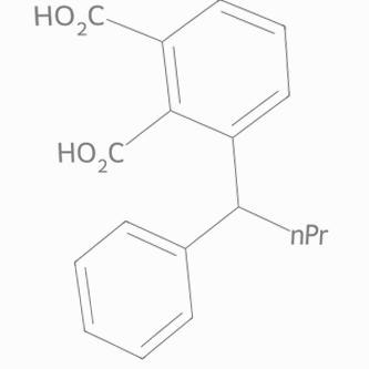 CCCC(c1ccccc1)c1cccc(C(=O)O)c1C(=O)O